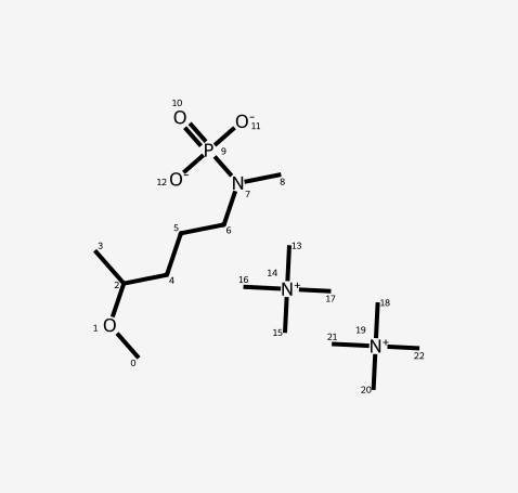 COC(C)CCCN(C)P(=O)([O-])[O-].C[N+](C)(C)C.C[N+](C)(C)C